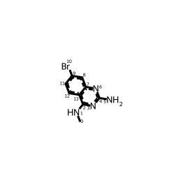 CNc1nc(N)nc2cc(Br)ccc12